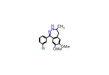 COc1cc2c(cc1OC)C(c1cccc(Br)c1)=NNC(C)C2